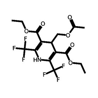 CCOC(=O)C1=C(C(F)(F)F)NC(C(F)(F)F)=C(C(=O)OCC)C1COC(C)=O